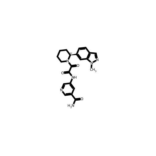 Cn1ncc2ccc([C@@H]3CCCCN3C(=O)C(=O)Nc3cncc(C(N)=O)c3)cc21